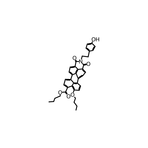 CCCCOC(=O)c1ccc2c3ccc4c5c(ccc(c6ccc(OCCCC)c1c62)c53)C(=O)N(CCc1ccc(O)cc1)C4=O